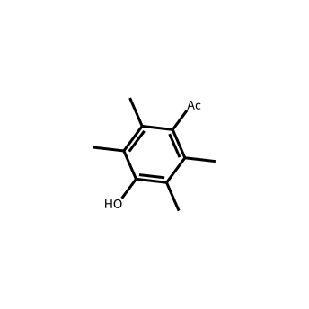 CC(=O)c1c(C)c(C)c(O)c(C)c1C